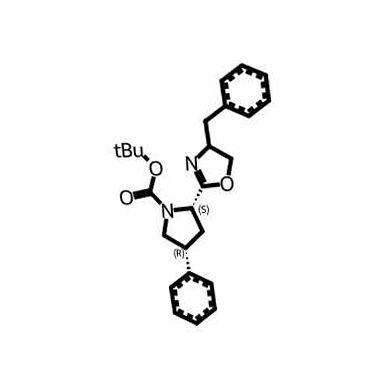 CC(C)(C)OC(=O)N1C[C@@H](c2ccccc2)C[C@H]1C1=NC(Cc2ccccc2)CO1